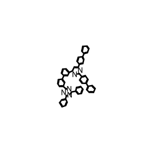 c1ccc(-c2ccc(-c3cc(-c4cccc(-c5cccc(-c6nc(-c7ccccc7)nc(-c7ccccc7)n6)c5)c4)nc(-c4ccc(-c5ccccc5)cc4)n3)cc2)cc1